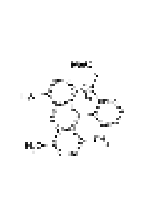 COCOc1ccccc1-c1c2c(C)ccc(C)c2cc2c(C)ccc(C)c12